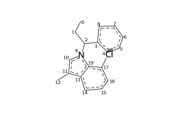 CCC(c1ccccc1)n1cc(C)c2cccc(Cl)c21